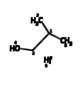 CC(C)CO.[Hf]